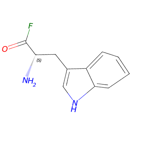 N[C@@H](Cc1c[nH]c2ccccc12)C(=O)F